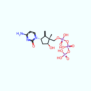 C=C1[C@@H](n2ccc(N)nc2=O)C[C@H](O)[C@@]1(C)COP(=O)(O)OP(=O)(O)OP(=O)(O)O